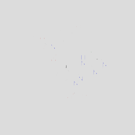 COc1ccc2c(c1)[C@]1(C[C@H]1c1cccc3c1c(Nc1ncncc1Cl)nn3C(=O)OC(C)(C)C)C(=O)N2C(=O)OC(C)(C)C